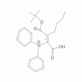 CCCC/C(C(=O)OC(C)(C)C)=C(\C(=O)O)[SiH](c1ccccc1)c1ccccc1